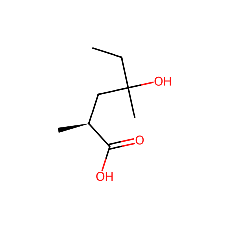 CCC(C)(O)C[C@H](C)C(=O)O